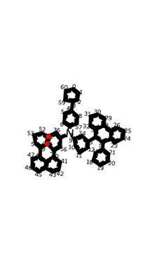 c1ccc(-c2ccc(N(c3cccc(-c4c(-c5ccccc5)c5ccccc5c5ccccc45)c3)c3cccc(-c4cccc5cccc(-c6ccccc6)c45)c3)cc2)cc1